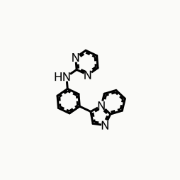 c1cnc(Nc2cccc(-c3cnc4ccccn34)c2)nc1